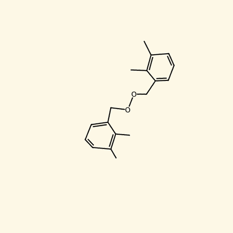 Cc1cccc(COOCc2cccc(C)c2C)c1C